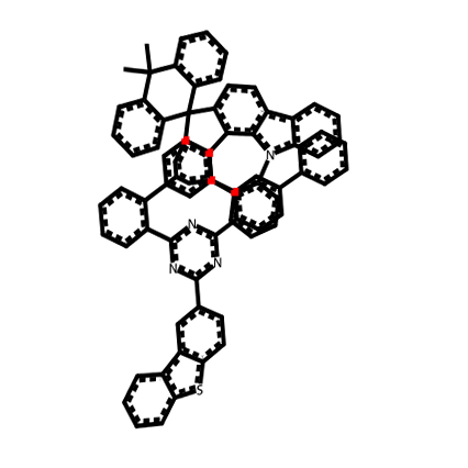 CC1(C)c2ccccc2C2(c3ccccc31)c1cc(-c3ccccc3-c3nc(-c4ccc5sc6ccccc6c5c4)nc(-c4ccc(-c5ccccc5)cc4-c4ccccc4)n3)cc3c1-c1c2ccc2c4ccccc4n(c12)-c1ccccc1-3